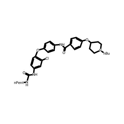 CCCCCNC(=O)Nc1ccc(Oc2ccc(NC(=O)c3ccc(OC4CCN(CCCC)CC4)cc3)cc2)c(Cl)c1